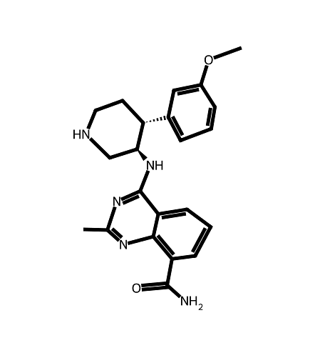 COc1cccc([C@H]2CCNC[C@@H]2Nc2nc(C)nc3c(C(N)=O)cccc23)c1